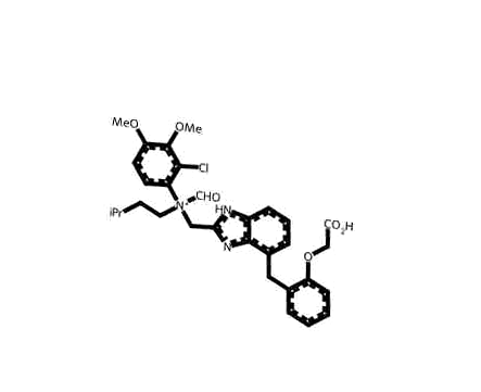 COc1ccc([N+](C=O)(CCC(C)C)Cc2nc3c(Cc4ccccc4OCC(=O)O)cccc3[nH]2)c(Cl)c1OC